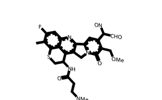 CNCCC(=O)NC1CSc2c(C)c(F)cc3nc4c(c1c23)Cn1c-4cc(C(C=O)N=O)c(COC)c1=O